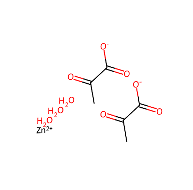 CC(=O)C(=O)[O-].CC(=O)C(=O)[O-].O.O.O.[Zn+2]